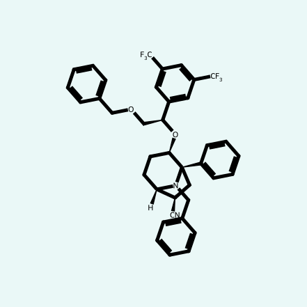 N#C[C@@H]1C[C@@]2(c3ccccc3)[C@H](O[C@@H](COCc3ccccc3)c3cc(C(F)(F)F)cc(C(F)(F)F)c3)CC[C@@H]1N2Cc1ccccc1